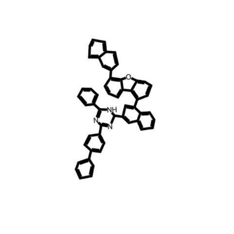 c1ccc(C2=NC(c3ccc(-c4ccccc4)cc3)=NC(c3cc(-c4cccc5oc6c(-c7ccc8ccccc8c7)cccc6c45)c4ccccc4c3)N2)cc1